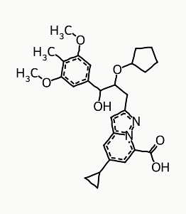 COc1cc(C(O)C(Cc2cc3cc(C4CC4)cc(C(=O)O)n3n2)OC2CCCC2)cc(OC)c1C